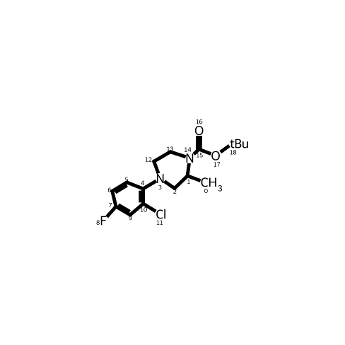 CC1CN(c2ccc(F)cc2Cl)CCN1C(=O)OC(C)(C)C